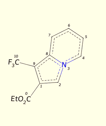 CCOC(=O)c1cn2ccccc2c1C(F)(F)F